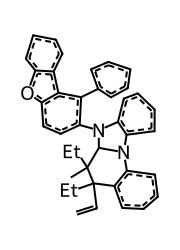 C=CC1(CC)c2ccccc2N2c3ccccc3N(c3ccc4oc5ccccc5c4c3-c3ccccc3)C2C1(C)CC